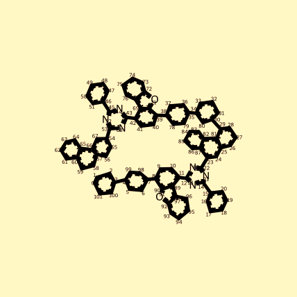 c1ccc(-c2ccc(-c3ccc(-c4nc(-c5ccccc5)nc(-c5cc6cccc(-c7cccc(-c8ccc(-c9ccc(-c%10nc(-c%11ccccc%11)nc(-c%11ccc%12ccc%13ccccc%13c%12c%11)n%10)c%10c9oc9ccccc9%10)cc8)c7)c6c6ccccc56)n4)c4c3oc3ccccc34)cc2)cc1